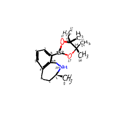 C[C@H]1CCc2cccc(B3OC(C)(C)C(C)(C)O3)c2N1